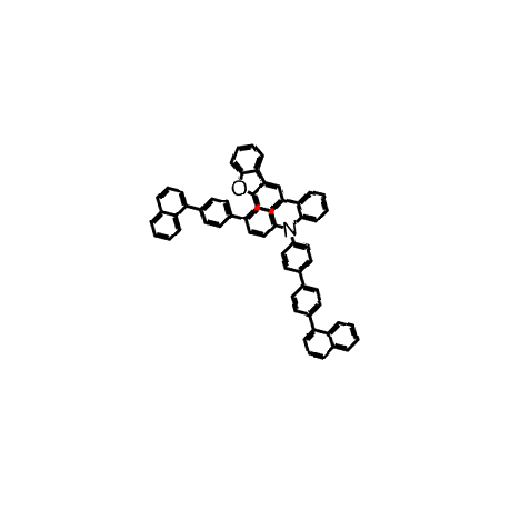 c1ccc(N(c2ccc(-c3ccc(-c4cccc5ccccc45)cc3)cc2)c2ccc(-c3ccc(-c4cccc5ccccc45)cc3)cc2)c(-c2ccc3oc4ccccc4c3c2)c1